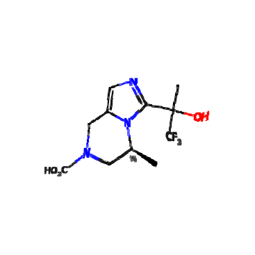 C[C@H]1CN(C(=O)O)Cc2cnc(C(C)(O)C(F)(F)F)n21